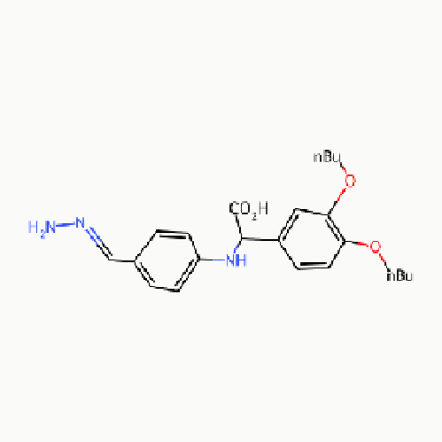 CCCCOc1ccc(C(Nc2ccc(C=NN)cc2)C(=O)O)cc1OCCCC